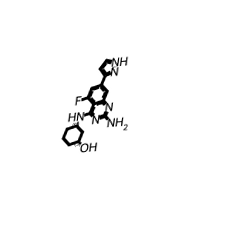 Nc1nc(N[C@H]2CCC[C@H](O)C2)c2c(F)cc(-c3cc[nH]n3)cc2n1